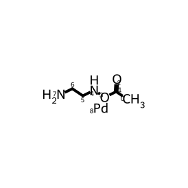 CC(=O)ONCCN.[Pd]